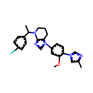 COc1cc(-n2cnc3c2CCCN3C(C)c2ccc(F)cc2)ccc1-n1cnc(C)c1